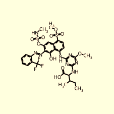 CCC(C)C(Nc1nc(Nc2ccc(S(=O)(=O)OC)c3cc(OS(=O)(=O)NC)c(N=Nc4ccccc4C(F)(F)F)c(O)c23)nc(OC)n1)C(=O)O